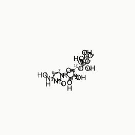 O=c1nc(NO)ccn1[C@@H]1O[C@H](COP(=O)(O)OP(=O)(O)O)[C@@H](O)[C@H]1O